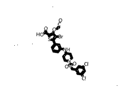 O=C=COc1c(C(=O)O)sc(-c2cccc(NC3CCN(S(=O)(=O)Cc4cc(Cl)cc(Cl)c4)CC3)c2)c1Br